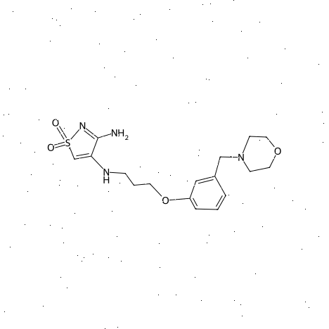 NC1=NS(=O)(=O)C=C1NCCCOc1cccc(CN2CCOCC2)c1